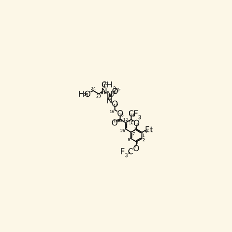 CCc1cc(OC(F)(F)F)cc2c1OC(C(F)(F)F)C(C(=O)OCON=[N+]([O-])N(C)CCO)=C2